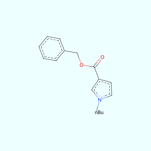 CCCCn1ccc(C(=O)OCc2ccccc2)c1